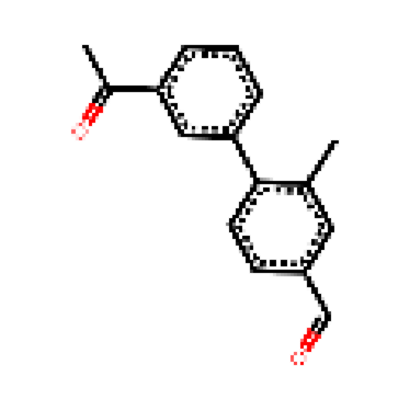 CC(=O)c1cccc(-c2ccc(C=O)cc2C)c1